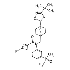 CC(C)(C)c1noc(C23CCC(CN(C(=O)C45CC(F)(C4)C5)c4cccc(P(C)(C)=O)c4)(CC2)CC3)n1